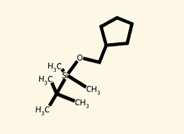 CC(C)(C)[Si](C)(C)OCC1CCCC1